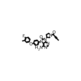 CC#CC(=O)N1CCC(n2c(=O)n(-c3ccc(Oc4ccc(F)c(C)c4)cc3)c3c(N)ncnc32)C1